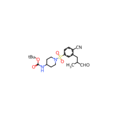 CC(C=O)Cc1cc(S(=O)(=O)N2CCC(NC(=O)OC(C)(C)C)CC2)ccc1C#N